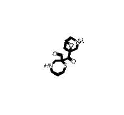 O=[C]C1(C(=O)C23CNCC(C2)O3)CNCCCS1